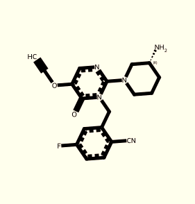 C#COc1cnc(N2CCC[C@@H](N)C2)n(Cc2cc(F)ccc2C#N)c1=O